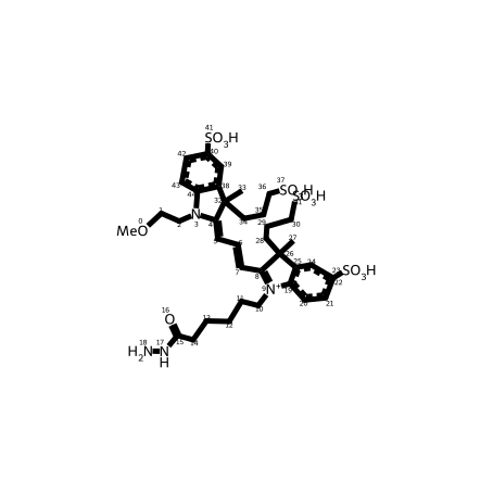 COCCN1/C(=C/C=C/C2=[N+](CCCCCC(=O)NN)c3ccc(S(=O)(=O)O)cc3C2(C)CCCS(=O)(=O)O)C(C)(CCCS(=O)(=O)O)c2cc(S(=O)(=O)O)ccc21